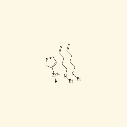 C=CCCC[N-]CC.C=CCCC[N-]CC.C[CH2][Zr+2][C]1=CC=CC1